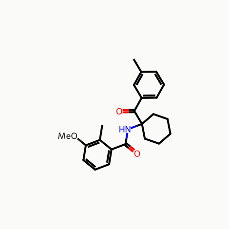 COc1cccc(C(=O)NC2(C(=O)c3cccc(C)c3)CCCCC2)c1C